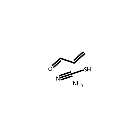 C=CC=O.N.N#CS